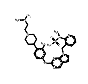 Cc1cc(Nc2ncc3ccn(Cc4cccnc4N(C)S(C)(=O)=O)c3n2)ccc1C1CCN(CCN(C)C)CC1